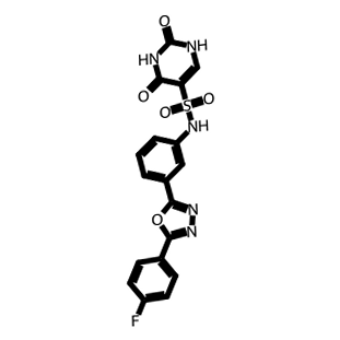 O=c1[nH]cc(S(=O)(=O)Nc2cccc(-c3nnc(-c4ccc(F)cc4)o3)c2)c(=O)[nH]1